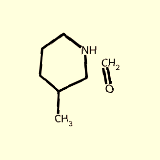 C=O.CC1CCCNC1